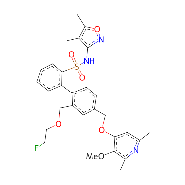 COc1c(OCc2ccc(-c3ccccc3S(=O)(=O)Nc3noc(C)c3C)c(COCCF)c2)cc(C)nc1C